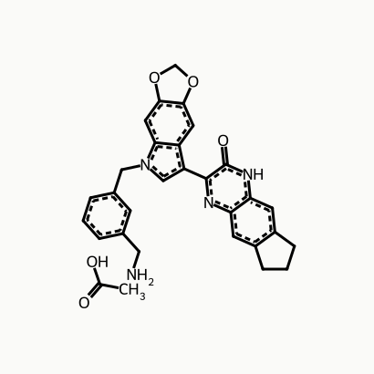 CC(=O)O.NCc1cccc(Cn2cc(-c3nc4cc5c(cc4[nH]c3=O)CCC5)c3cc4c(cc32)OCO4)c1